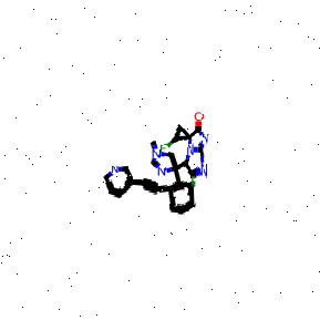 CN1C=NC(c2c(F)cccc2C#Cc2cccnc2)(C2C=NC3=NC(=O)C4(CC4F)N32)C1